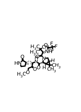 COCC(=O)[C@H](C[C@@H]1CCNC1=O)NC(=O)[C@@H]1[C@@H]2[C@H](CN1C(=O)[C@@H](NC(=O)C(F)(F)F)C(C)(C)C)C2(C)C